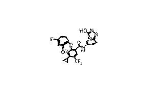 Cc1cc(F)ccc1Oc1cc(C2CC2)c(C(F)(F)F)cc1C(=O)Nc1ccc2nnc(O)n2c1